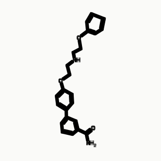 NC(=O)c1cccc(-c2ccc(OCCNCCOc3ccccc3)cc2)c1